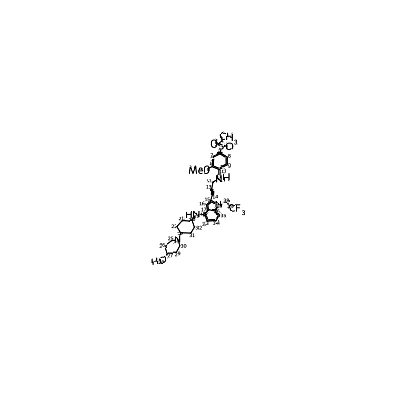 COc1cc(S(C)(=O)=O)ccc1NCC#Cc1cc2c(NC3CCC(N4CCC(O)CC4)CC3)cccc2n1CC(F)(F)F